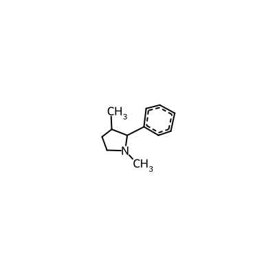 CC1CCN(C)C1c1ccccc1